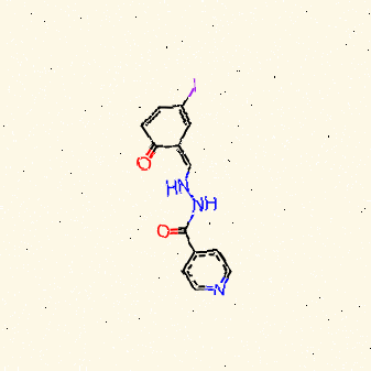 O=C1C=CC(I)=CC1=CNNC(=O)c1ccncc1